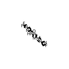 C[C@H]1CN(c2ccc(F)nc2)CCN1c1cnc(NC(=O)c2ccc(N3CC(F)(F)C3)nc2)cn1